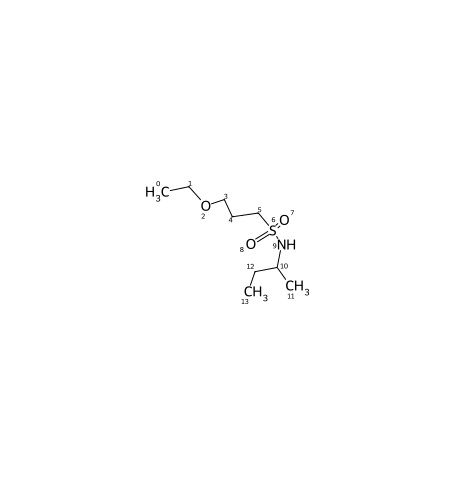 CCOCCCS(=O)(=O)NC(C)CC